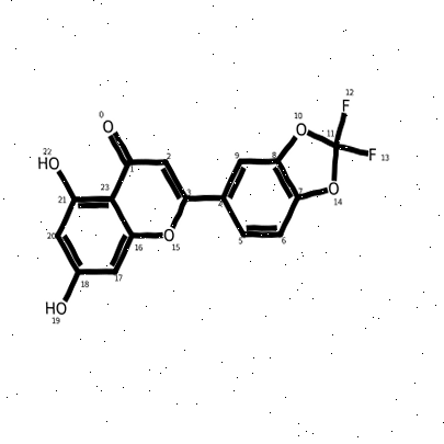 O=c1cc(-c2ccc3c(c2)OC(F)(F)O3)oc2cc(O)cc(O)c12